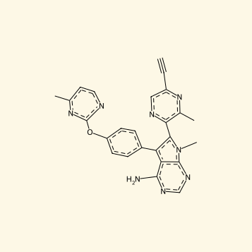 C#Cc1cnc(-c2c(-c3ccc(Oc4nccc(C)n4)cc3)c3c(N)ncnc3n2C)c(C)n1